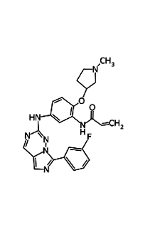 C=CC(=O)Nc1cc(Nc2ncc3cnc(-c4cccc(F)c4)n3n2)ccc1OC1CCN(C)C1